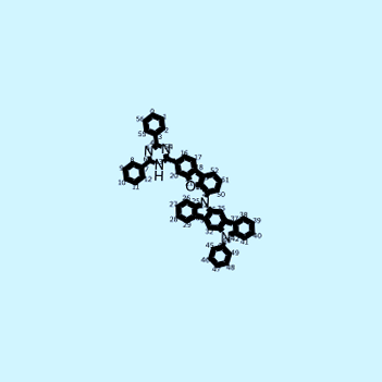 c1ccc(C2=NC(c3ccccc3)NC(c3ccc4c(c3)oc3c(-n5c6ccccc6c6cc7c(cc65)c5ccccc5n7-c5ccccc5)cccc34)=N2)cc1